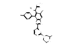 COC(=O)C(OC(C)(C)C)c1c(C)cc2nc(-c3ccnc(N4CCNC(C)C4)n3)sc2c1-c1ccc(Cl)cc1